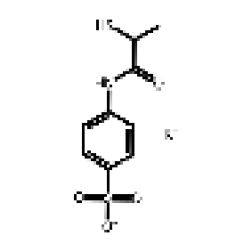 CC(S)C(=O)Nc1ccc(S(=O)(=O)[O-])cc1.[K+]